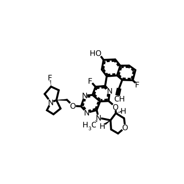 C#Cc1c(F)ccc2cc(O)cc(-c3nc4c5c(nc(OC[C@@]67CCCN6C[C@H](F)C7)nc5c3F)N(C)[C@H]3CCOC[C@@H]3O4)c12